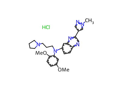 COc1ccc(OC)c(N(CCCN2CCCC2)c2ccc3ncc(-c4cnn(C)c4)nc3c2)c1.Cl